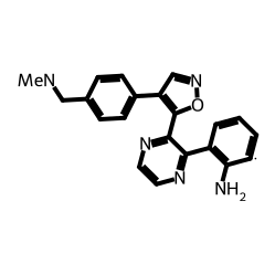 CNCc1ccc(-c2cnoc2-c2nccnc2-c2ccc[c]c2N)cc1